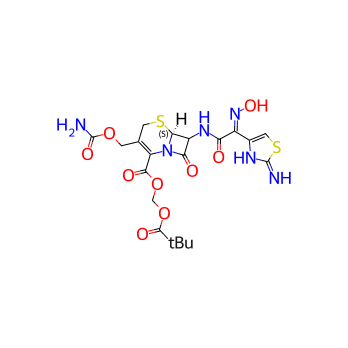 CC(C)(C)C(=O)OCOC(=O)C1=C(COC(N)=O)CS[C@H]2C(NC(=O)C(=NO)c3csc(=N)[nH]3)C(=O)N12